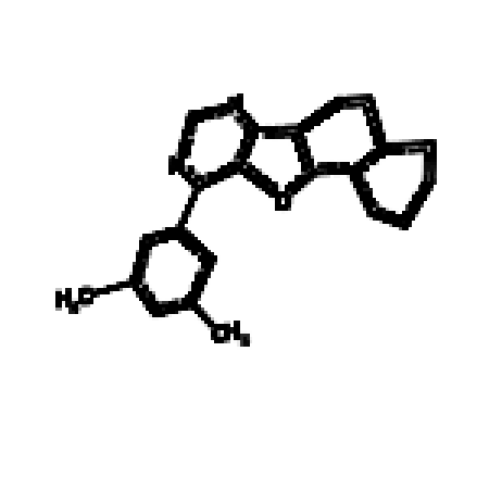 Cc1cc(C)cc(-c2ncnc3c2oc2c4ccccc4ccc32)c1